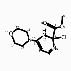 COC(=O)C1(Cl)N=CC=C(N2CCOCC2)N1